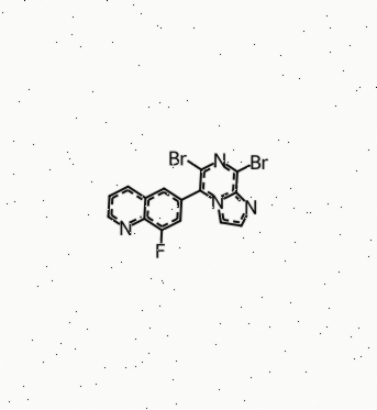 Fc1cc(-c2c(Br)nc(Br)c3nccn23)cc2cccnc12